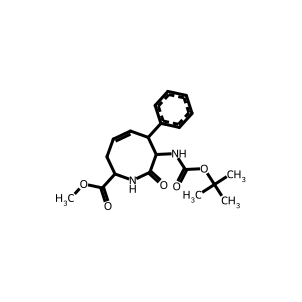 COC(=O)C1C/C=C\C(c2ccccc2)C(NC(=O)OC(C)(C)C)C(=O)N1